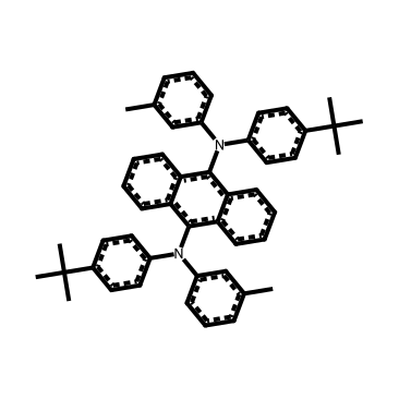 Cc1cccc(N(c2ccc(C(C)(C)C)cc2)c2c3ccccc3c(N(c3ccc(C(C)(C)C)cc3)c3cccc(C)c3)c3ccccc23)c1